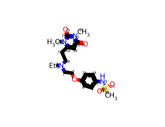 CCN(CCOc1ccc(NS(C)(=O)=O)cc1)CCc1cc(=O)n(C)c(=O)n1C